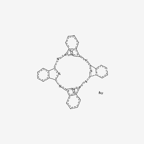 [Au].c1ccc2c(c1)-c1nc-2nc2[nH]c(nc3nc(nc4[nH]c(n1)c1ccccc41)-c1ccccc1-3)c1ccccc21